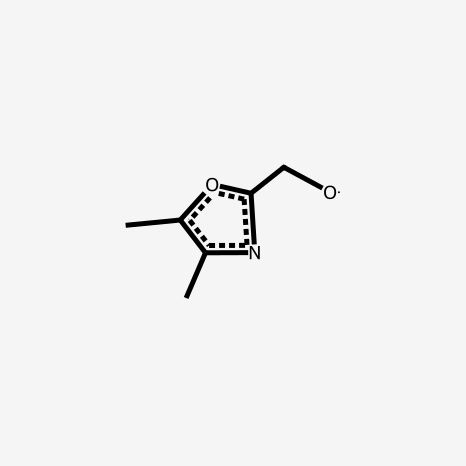 Cc1nc(C[O])oc1C